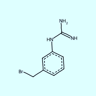 N=C(N)Nc1cccc(CBr)c1